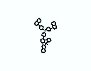 CC1(c2ccc3ccccc3c2)c2ccccc2-c2c(-c3ccc(N(c4ccc(-c5cccc6ccccc56)cc4)c4ccc(-c5cccc6ccccc56)cc4)cc3)cccc21